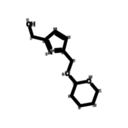 OCC1=[N+]=C(COC2CCCCO2)C=C1